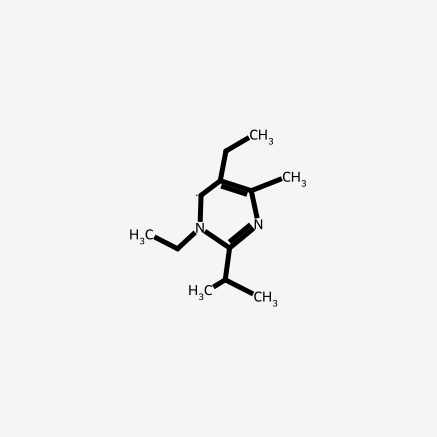 CCC1=C(C)N=C(C(C)C)N(CC)[CH]1